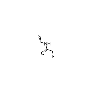 O=C(CF)NC=S